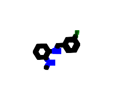 CNC1CCCCC1NCc1cccc(F)c1